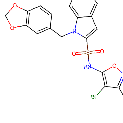 Cc1noc(NS(=O)(=O)c2cc3ccccc3n2Cc2ccc3c(c2)OCO3)c1Br